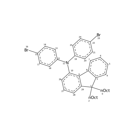 CCCCCCCCC1(CCCCCCCC)c2ccccc2-c2c(N(c3ccc(Br)cc3)c3ccc(Br)cc3)cccc21